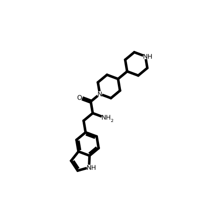 NC(Cc1ccc2[nH]ccc2c1)C(=O)N1CCC(C2CCNCC2)CC1